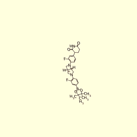 CC1(C)OB(c2ccc(N3C[C@@H]4CN(c5ccc(C6CCC(=O)NC6=O)cc5F)[C@@H]4C3)c(F)c2)OC1(C)C